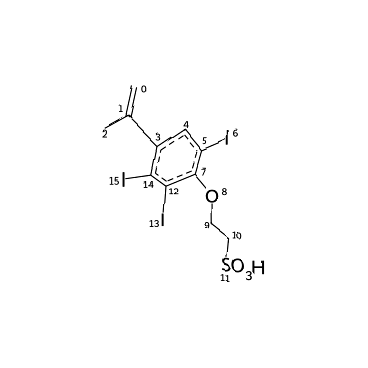 C=C(C)c1cc(I)c(OCCS(=O)(=O)O)c(I)c1I